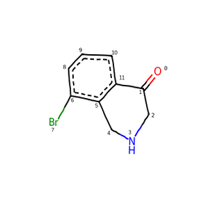 O=C1CNCc2c(Br)cccc21